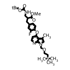 COC(=O)C(CNC(=O)OC(C)(C)C)Cc1ccc(Oc2ccnc3c2c(C)cn3COCCS(C)(C)C)c(F)c1